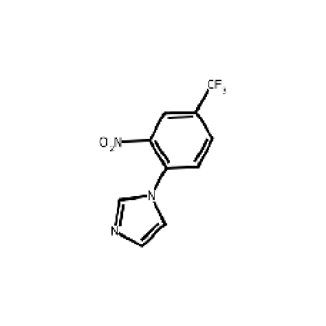 O=[N+]([O-])c1cc(C(F)(F)F)ccc1-n1ccnc1